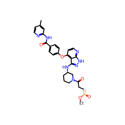 CCO[PH](=O)CCC(=O)N1CCC[C@@H](Nc2n[nH]c3nccc(Oc4ccc(C(=O)Nc5cc(C)ccn5)cc4)c23)C1